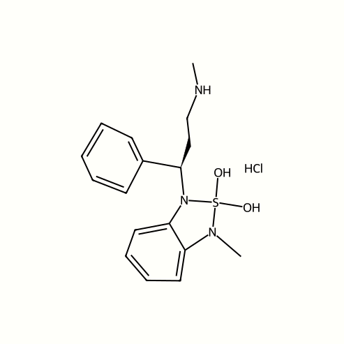 CNCC[C@H](c1ccccc1)N1c2ccccc2N(C)S1(O)O.Cl